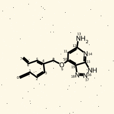 C=C/C=C\C(=C/C=C)COc1cc(N)nc2[nH]nnc12